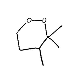 CC1CCOOC1(C)C